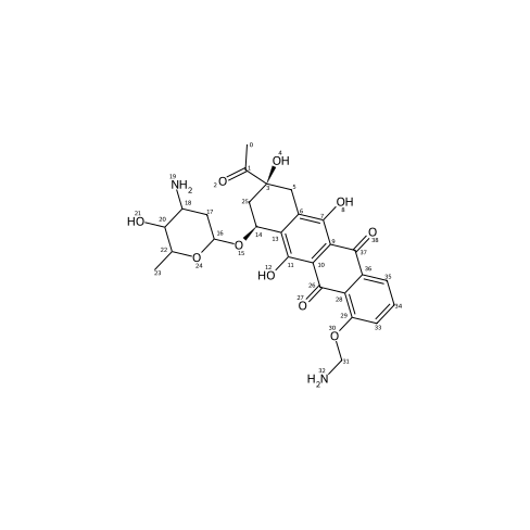 CC(=O)[C@]1(O)Cc2c(O)c3c(c(O)c2[C@@H](OC2CC(N)C(O)C(C)O2)C1)C(=O)c1c(OCN)cccc1C3=O